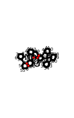 c1ccc(-c2ccccc2N(c2cccc3c2Oc2cc4c(cc2O3)C2(c3ccccc3-c3ccccc32)c2ccccc2-4)c2cccc3ccccc23)cc1